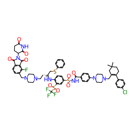 CC1(C)CCC(c2ccc(Cl)cc2)=C(CN2CCN(c3ccc(C(=O)NS(=O)(=O)c4ccc(N[C@H](CCN5CCN(Cc6ccc7c(c6F)C(=O)N(C6CCC(=O)NC6=O)C7=O)CC5)CSc5ccccc5)c(S(=O)(=O)C(F)(F)F)c4)cc3)CC2)C1